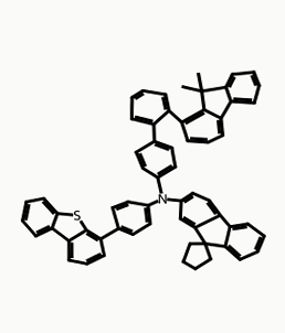 CC1(C)c2ccccc2-c2cccc(-c3ccccc3-c3ccc(N(c4ccc(-c5cccc6c5sc5ccccc56)cc4)c4ccc5c(c4)C4(CCCC4)c4ccccc4-5)cc3)c21